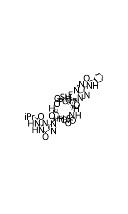 CC(C)C(=O)Nc1nc2c(ncn2[C@@H]2O[C@@H]3COP(=O)(S)O[C@H]4[C@@H](F)[C@H](n5cnc6c(NC(=O)c7ccccc7)ncnc65)O[C@@H]4CNS(=O)(=O)O[C@@H]2C3)c(=O)[nH]1